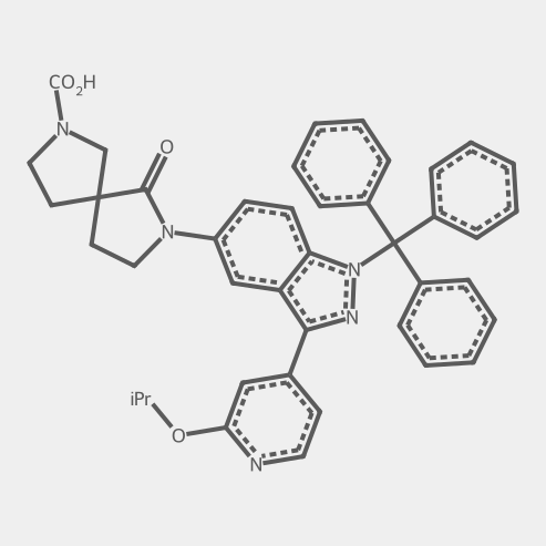 CC(C)Oc1cc(-c2nn(C(c3ccccc3)(c3ccccc3)c3ccccc3)c3ccc(N4CCC5(CCN(C(=O)O)C5)C4=O)cc23)ccn1